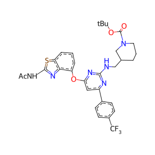 CC(=O)Nc1nc2c(Oc3cc(-c4ccc(C(F)(F)F)cc4)nc(NCC4CCCN(C(=O)OC(C)(C)C)C4)n3)cccc2s1